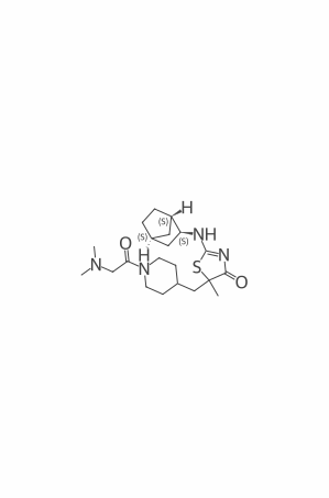 CN(C)CC(=O)N1CCC(CC2(C)SC(N[C@H]3C[C@H]4CC[C@H]3C4)=NC2=O)CC1